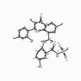 Cc1ccc(-c2oc3c([C@@H](C)Nc4ccc(Cl)nc4C(=O)NS(C)(=O)=O)cc(C)cc3c(=O)c2C)c(F)c1